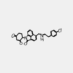 O=C1CCC(N2C(=O)c3ccc(CNCCc4ccc(Cl)cc4)c4cccc2c34)C(=O)C1